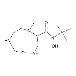 CN1CCNCCNCC1C(=O)N(O)C(C)(C)C